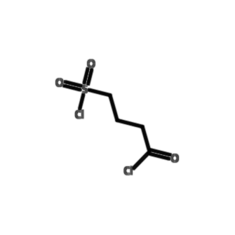 O=C(Cl)CCCS(=O)(=O)Cl